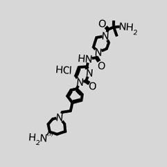 CC(C)(N)C(=O)N1CCN(C(=O)Nc2ccn(-c3ccc(CCN4CCC[C@H](N)CC4)cc3)c(=O)n2)CC1.Cl